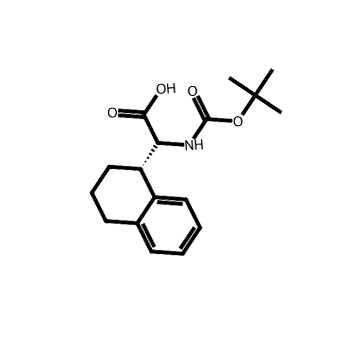 CC(C)(C)OC(=O)NC(C(=O)O)[C@H]1CCCc2ccccc21